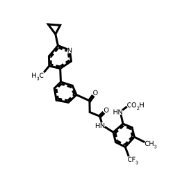 Cc1cc(C2CC2)ncc1-c1cccc(C(=O)CC(=O)Nc2cc(C(F)(F)F)c(C)cc2NC(=O)O)c1